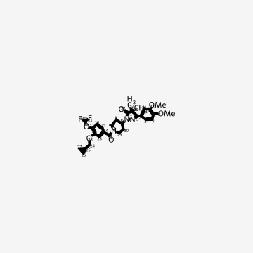 COc1ccc(C2=NN(C3CCN(C(=O)c4ccc(OC(F)F)c(OCC5CC5)c4)CC3)C(=O)C2(C)C)cc1OC